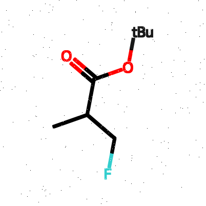 CC(CF)C(=O)OC(C)(C)C